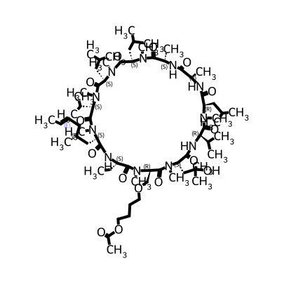 C/C=C/C[C@@H](C)C[C@H]1C(=O)N[C@@H](CC)C(=O)N(C)[C@H](COCCCCOC(C)=O)C(=O)N(C)[C@@H](CC(C)(C)O)C(=O)N[C@H](C(C)C)C(=O)N(C)[C@H](CC(C)C)C(=O)N[C@H](C)C(=O)N[C@@H](C)C(=O)N(C)[C@@H](CC(C)C)C(=O)N(C)[C@@H](CC(C)C)C(=O)N(C)[C@@H](C(C)C)C(=O)N1C